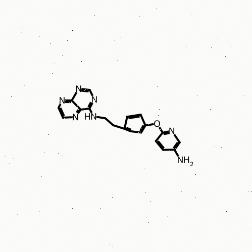 Nc1ccc(Oc2ccc(CCNc3ncnc4nccnc34)cc2)nc1